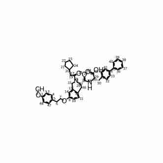 COc1ccc(CCOc2ccc3c(c2)CN(C(=O)CC2CCCC2)[C@H](C(=O)N[C@@H](Cc2ccc(-c4ccccc4)cc2)C(=O)O)C3)cc1